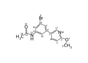 COc1ccc(-c2cc(Br)cc(NC(C)=O)c2)cn1